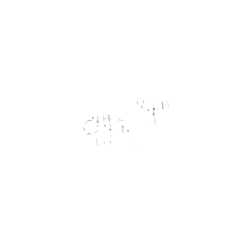 O=C(CC(CC1CCCC1)C(=O)N1CC2(CC2)CC1C(=O)Nc1ncccc1F)NO